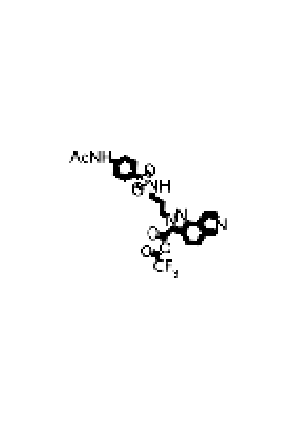 CC(=O)Nc1ccc(S(=O)(=O)NCCCn2nc3c(c2C(=O)OC(=O)C(F)(F)F)CCc2cnccc2-3)cc1